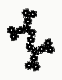 c1cc(-c2ccc(-c3cccc(-c4cc(-c5ccc(-n6c7ccccc7c7ccccc76)cc5)nc(-c5ccc(-n6c7ccccc7c7ccccc76)cc5)n4)c3)cc2)cc(-c2cc(-c3ccc(-n4c5ccccc5c5ccccc54)cc3)nc(-c3ccc(-n4c5ccccc5c5ccccc54)cc3)n2)c1